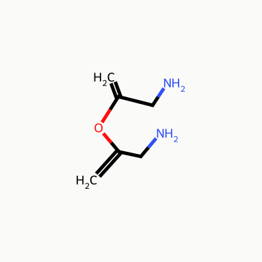 C=C(CN)OC(=C)CN